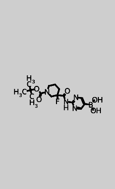 CC(C)(C)OC(=O)N1CCCC(F)(C(=O)Nc2ncc(B(O)O)cn2)C1